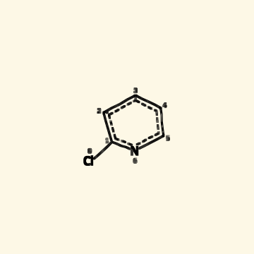 Clc1[c][c]ccn1